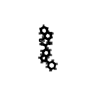 O=C(Nc1cnc2ccccc2c1Cl)c1ccc2c(ccn2C2CCCCC2)c1